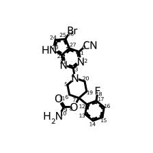 N#Cc1nc(N2CCC(OC(N)=O)(c3ccccc3F)CC2)nc2[nH]cc(Br)c12